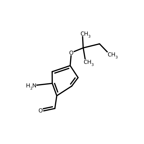 CCC(C)(C)Oc1ccc(C=O)c(N)c1